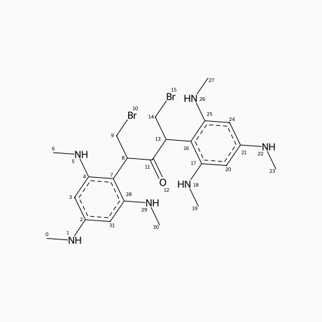 CNc1cc(NC)c(C(CBr)C(=O)C(CBr)c2c(NC)cc(NC)cc2NC)c(NC)c1